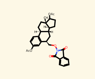 CC(=O)Oc1ccc2c(c1)[C@H](CON1C(=O)c3ccccc3C1=O)C[C@@H]1[C@@H]2CC[C@]2(C)C(OC(C)=O)CC[C@@H]12